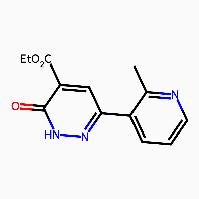 CCOC(=O)c1cc(-c2cccnc2C)n[nH]c1=O